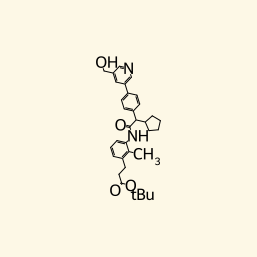 Cc1c(CCC(=O)OC(C)(C)C)cccc1NC(=O)C(c1ccc(-c2cncc(CO)c2)cc1)C1CCCC1